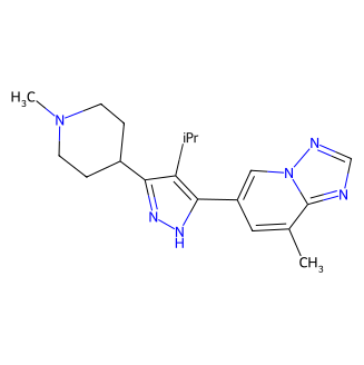 Cc1cc(-c2[nH]nc(C3CCN(C)CC3)c2C(C)C)cn2ncnc12